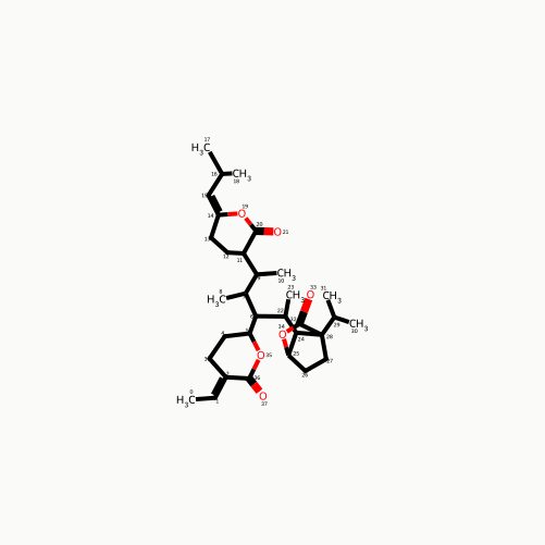 C/C=C1\CCC(C(C(C)C(C)C2CC/C(=C/C(C)C)OC2=O)C(C)C2C3CCC2(C(C)C)C(=O)O3)OC1=O